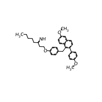 CCCCCC(=N)CCOc1ccc(Cc2c(-c3ccc(OC)cc3)ccc3cc(OC)ccc23)cc1